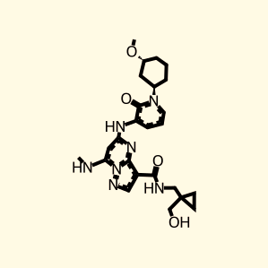 CNc1cc(Nc2cccn([C@@H]3CCC[C@@H](OC)C3)c2=O)nc2c(C(=O)NCC3(CO)CC3)cnn12